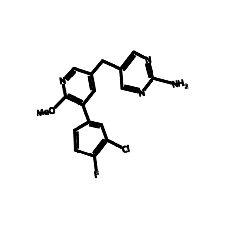 COc1ncc(Cc2cnc(N)nc2)cc1-c1ccc(F)c(Cl)c1